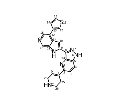 C1=C(c2ccc3[nH]nc(-c4cc5c(-c6ccsc6)cncc5[nH]4)c3n2)CCNC1